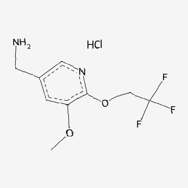 COc1cc(CN)cnc1OCC(F)(F)F.Cl